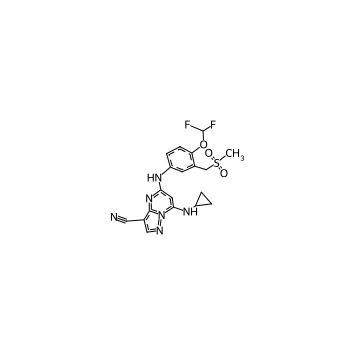 CS(=O)(=O)Cc1cc(Nc2cc(NC3CC3)n3ncc(C#N)c3n2)ccc1OC(F)F